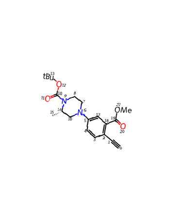 C#Cc1ccc(N2CCN(C(=O)OC(C)(C)C)[C@@H](C)C2)cc1C(=O)OC